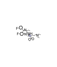 CCC1N=C(c2cccc(F)c2)c2cc(F)ccc2N=C1N/N=C(\CCCN(CC)CC)C(=O)OC